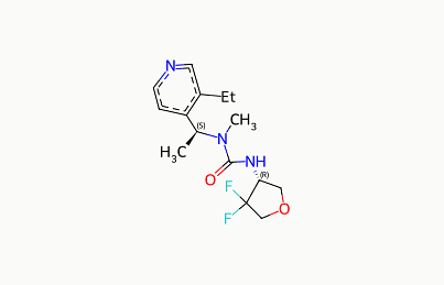 CCc1cnccc1[C@H](C)N(C)C(=O)N[C@@H]1COCC1(F)F